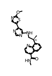 CNC(=O)c1ccnc2c([C@H](C)CNc3cc(-c4cnc(OC)s4)ncn3)cccc12